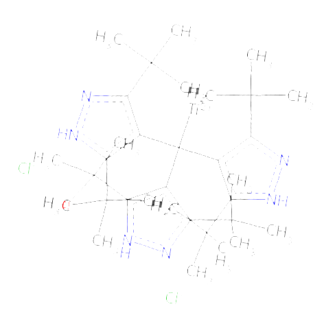 CC(C)(C)c1n[nH]c(C(C)(C)C)c1[C]([Ti+2])(c1c(C(C)(C)C)n[nH]c1C(C)(C)C)c1c(C(C)(C)C)n[nH]c1C(C)(C)C.[Cl-].[Cl-]